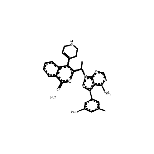 CC(c1oc(=O)c2ccccc2c1C1=CCNCC1)n1nc(-c2cc(O)cc(F)c2)c2c(N)ncnc21.Cl